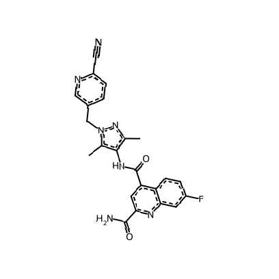 Cc1nn(Cc2ccc(C#N)nc2)c(C)c1NC(=O)c1cc(C(N)=O)nc2cc(F)ccc12